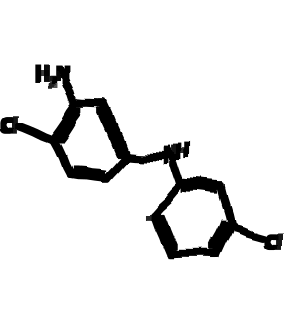 Nc1cc(Nc2[c]ccc(Cl)c2)ccc1Cl